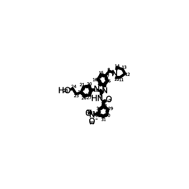 O=C(Nc1nc2cc(CN3CCCCC3)ccc2n1-c1ccc(CCO)cc1)c1cccc([N+](=O)[O-])c1